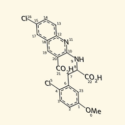 COc1ccc(Cl)c(CC(Nc2nc3ccc(Cl)cc3cc2C(=O)O)C(=O)O)c1